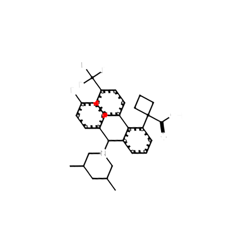 CC1CC(C)CN(C(c2ccc(F)cc2)c2cccc(C3(C(=O)O)CCC3)c2-c2ccc(C(F)(F)F)cc2)C1